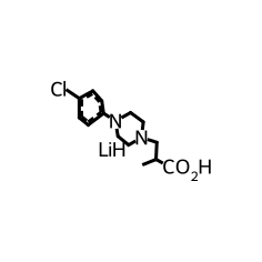 CC(CN1CCN(c2ccc(Cl)cc2)CC1)C(=O)O.[LiH]